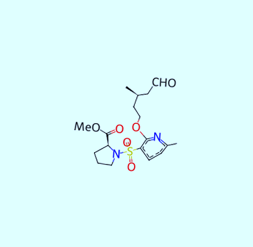 COC(=O)[C@@H]1CCCN1S(=O)(=O)c1ccc(C)nc1OCC[C@@H](C)CC=O